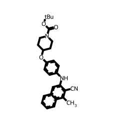 Cc1c(C#N)c(Nc2ccc(OC3CCN(C(=O)OC(C)(C)C)CC3)cc2)cc2ccccc12